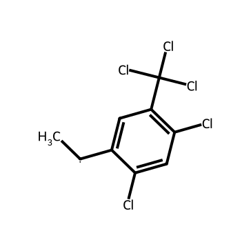 C[CH]c1cc(C(Cl)(Cl)Cl)c(Cl)cc1Cl